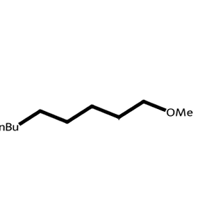 CCCCCCC[CH]COC